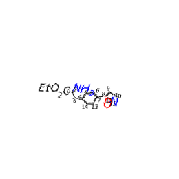 CCOC(=O)[C@H](N)Cc1ccc(-c2ccno2)cc1